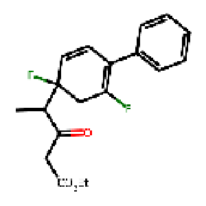 CCOC(=O)CC(=O)C(C)C1(F)C=CC(c2ccccc2)=C(F)C1